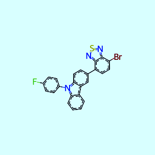 Fc1ccc(-n2c3ccccc3c3cc(-c4ccc(Br)c5nsnc45)ccc32)cc1